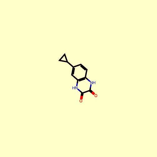 O=c1[nH]c2ccc(C3CC3)cc2[nH]c1=O